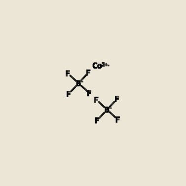 F[B-](F)(F)F.F[B-](F)(F)F.[Co+2]